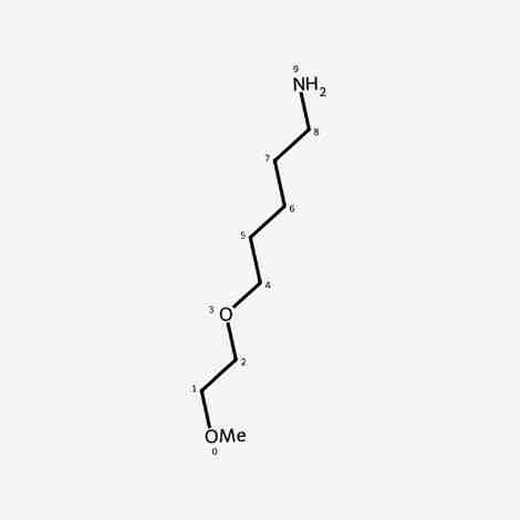 COCCOCCCCCN